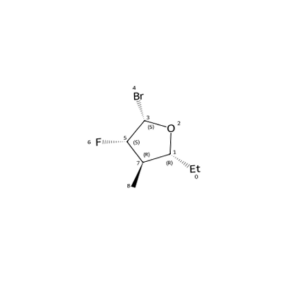 CC[C@H]1O[C@@H](Br)[C@@H](F)[C@@H]1C